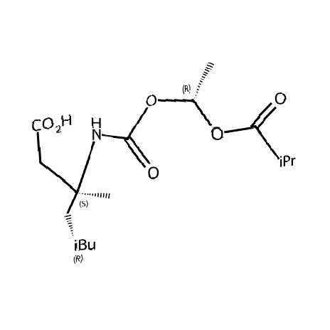 CC[C@@H](C)C[C@@](C)(CC(=O)O)NC(=O)O[C@H](C)OC(=O)C(C)C